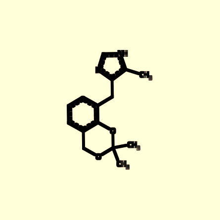 Cc1[nH]cnc1Cc1cccc2c1OC(C)(C)OC2